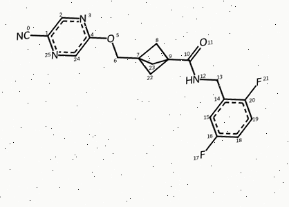 N#Cc1cnc(OCC23CC(C(=O)NCc4cc(F)ccc4F)(C2)C3)cn1